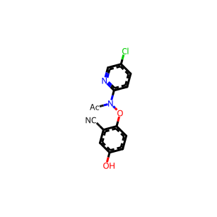 CC(=O)N(Oc1ccc(O)cc1C#N)c1ccc(Cl)cn1